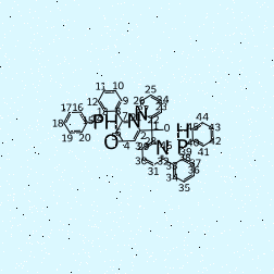 CC(C1=CC2OC2C(c2ccccc2Pc2ccccc2)=N1)(c1ccccn1)c1cccc(-c2ccccc2Pc2ccccc2)n1